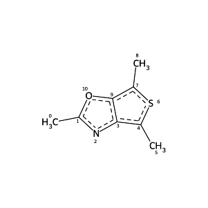 Cc1nc2c(C)sc(C)c2o1